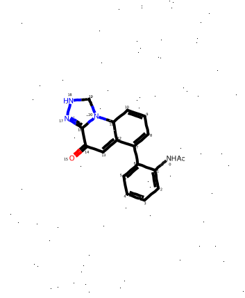 CC(=O)Nc1ccccc1C1=CC=CC2C1=CC(=O)C1=NNCN12